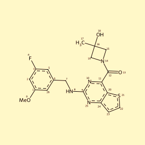 COc1cc(F)cc(CNc2nc(C(=O)N3CC(C)(O)C3)c3sccc3n2)c1